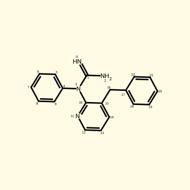 N=C(N)N(c1ccccc1)c1ncccc1Cc1ccccc1